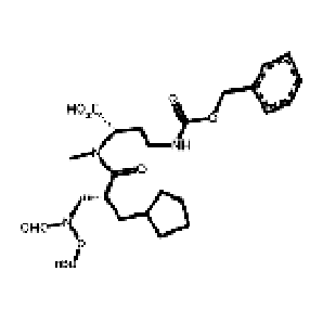 CCCCON(C=O)C[C@@H](CC1CCCC1)C(=O)N(C)[C@@H](CCNC(=O)OCc1ccccc1)C(=O)O